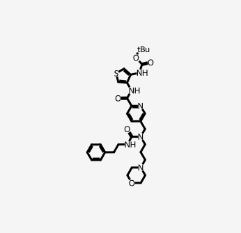 CC(C)(C)OC(=O)Nc1cscc1NC(=O)c1ccc(CN(CCCN2CCOCC2)C(=O)NCCc2ccccc2)cn1